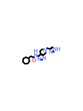 O=C(CC1CCCCCC1)Nc1ncnc2c1CCN(Cc1c[nH]cn1)C2